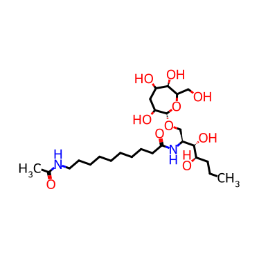 CCC[C@@H](O)[C@@H](O)[C@H](CO[C@H]1OC(CO)[C@H](O)C(O)CC1O)NC(=O)CCCCCCCCCNC(C)=O